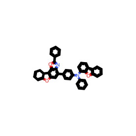 C1=CCC2C(=C1)Oc1cc(-c3ccc(N(c4ccccc4)c4cccc5c4oc4ccccc45)cc3)c3nc(-c4ccccc4)oc3c12